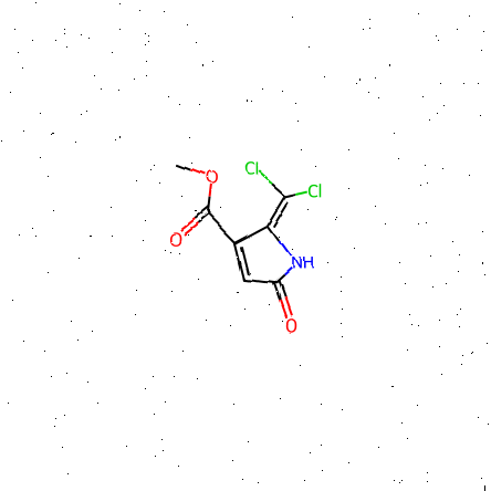 COC(=O)C1=CC(=O)NC1=C(Cl)Cl